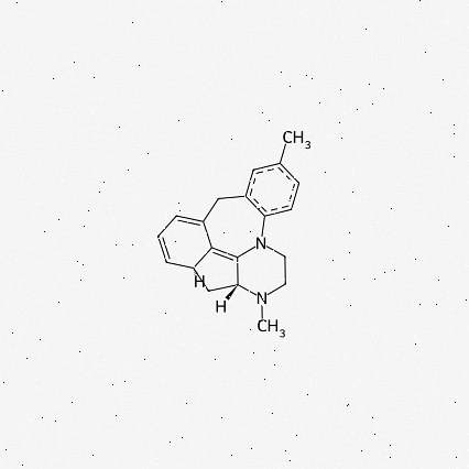 Cc1ccc2c(c1)CC1=CC=C[C@@H]3C[C@@H]4C(=C13)N2CCN4C